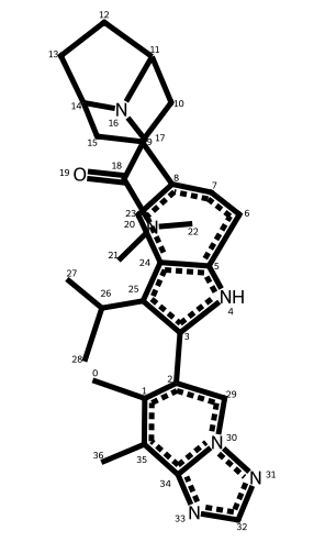 Cc1c(-c2[nH]c3ccc(C4CC5CCC(C4)N5CC(=O)N(C)C)cc3c2C(C)C)cn2ncnc2c1C